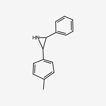 Cc1ccc(C2NC2c2ccccc2)cc1